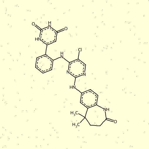 CC1(C)CCC(=O)Nc2ccc(Nc3ncc(Cl)c(Nc4ccccc4-c4cc(=O)[nH]c(=O)[nH]4)n3)cc21